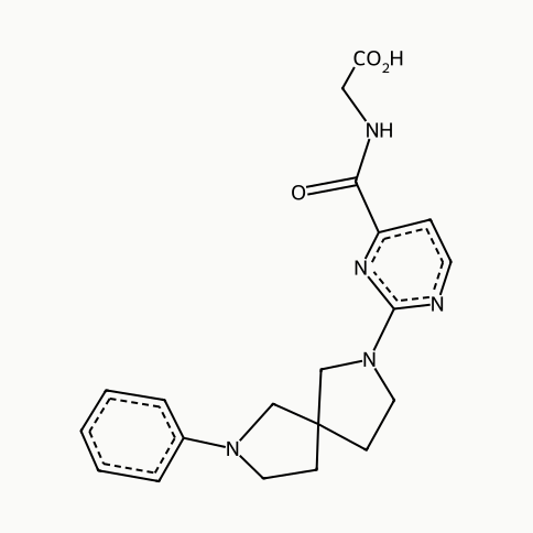 O=C(O)CNC(=O)c1ccnc(N2CCC3(CCN(c4ccccc4)C3)C2)n1